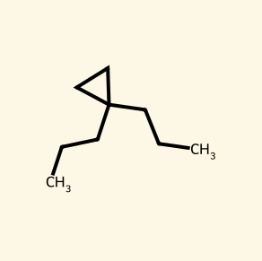 CCCC1(CCC)CC1